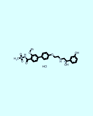 CC(C)Oc1cc(-c2ccc(OCCNC[C@H](O)c3cccc(O)c3)cc2)ccc1C(=O)NS(C)(=O)=O.Cl